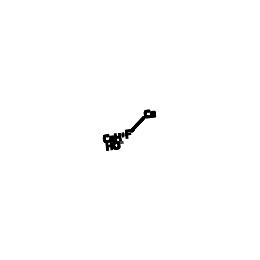 [CaH+].[F][Ce].[OH-]